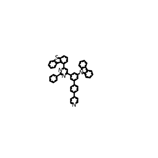 c1ccc(-c2nc(-c3cc(-c4ccc(-c5ccncc5)cc4)cc(-n4c5ccccc5c5ccccc54)c3)cc(-c3cccc4sc5ccccc5c34)n2)cc1